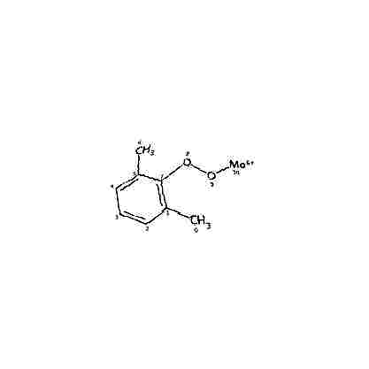 Cc1cccc(C)c1O[O][Mo+5]